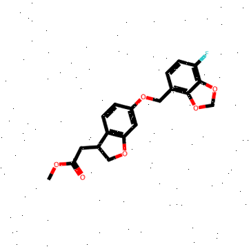 COC(=O)CC1COc2cc(OCc3ccc(F)c4c3OCO4)ccc21